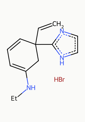 Br.C=CC1(c2ncc[nH]2)C=CC=C(NCC)C1